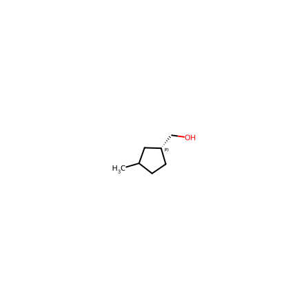 CC1CC[C@@H](CO)C1